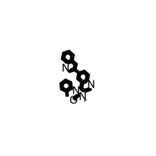 Cc1ccccc1-n1c(=O)n(C)c2cnc3ccc(-c4cnc5ccccc5c4)cc3c21